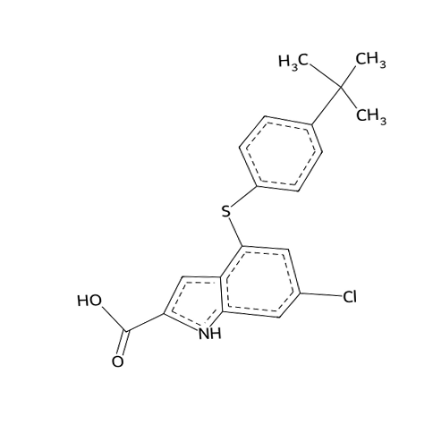 CC(C)(C)c1ccc(Sc2cc(Cl)cc3[nH]c(C(=O)O)cc23)cc1